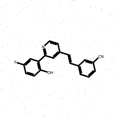 N#Cc1cccc(C=Cc2ccnc(-c3cc(F)ccc3O)c2)c1